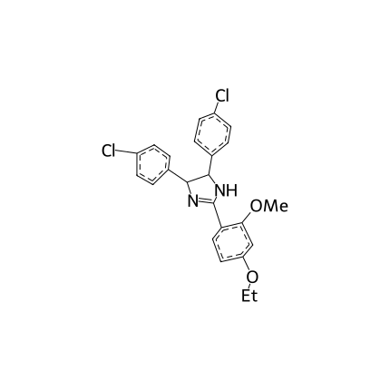 CCOc1ccc(C2=NC(c3ccc(Cl)cc3)C(c3ccc(Cl)cc3)N2)c(OC)c1